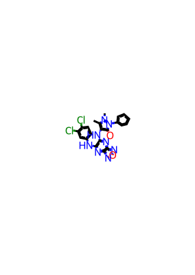 Cc1c(Nc2nc3nonc3nc2Nc2ccc(Cl)c(Cl)c2)c(=O)n(-c2ccccc2)n1C